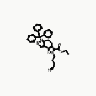 CCOC(=O)c1c2c(nn1CCCC#N)-c1cnn(C(c3ccccc3)(c3ccccc3)c3ccccc3)c1CC2